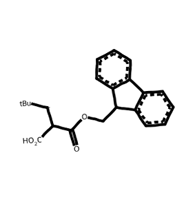 CC(C)(C)[CH][C](C(=O)O)C(=O)OCC1c2ccccc2-c2ccccc21